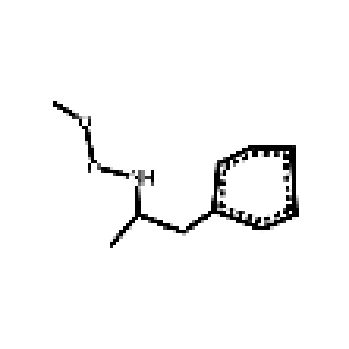 COONC(C)Cc1ccccc1